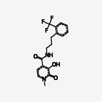 Cn1ccc(C(=O)NCCCc2ccccc2C(F)(F)F)c(O)c1=O